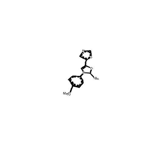 CCCCC1OC(c2cncs2)=[C]N1c1ccc(OC)cc1